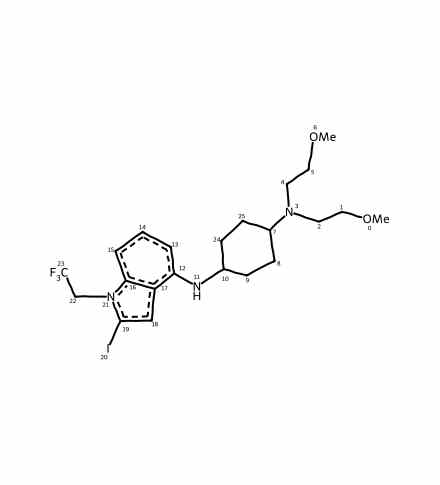 COCCN(CCOC)C1CCC(Nc2cccc3c2cc(I)n3CC(F)(F)F)CC1